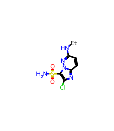 CCNc1ccc2nc(Cl)c(S(N)(=O)=O)n2n1